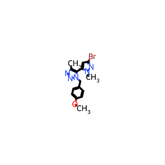 COc1ccc(Cn2nnc(C)c2-c2cc(Br)nn2C)cc1